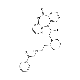 O=C(CNCCC1CCCCN1CC(=O)N1c2ccccc2C(=O)Nc2cccnc21)c1ccccc1